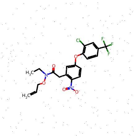 C=CCON(CC)C(=O)Cc1cc(Oc2ccc(C(F)(F)F)cc2Cl)ccc1[N+](=O)[O-]